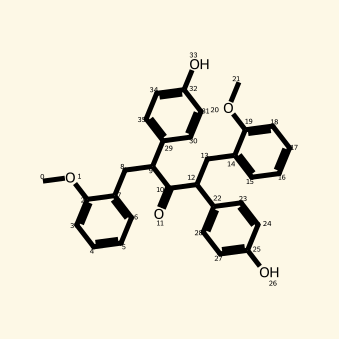 COc1ccccc1CC(C(=O)C(Cc1ccccc1OC)c1ccc(O)cc1)c1ccc(O)cc1